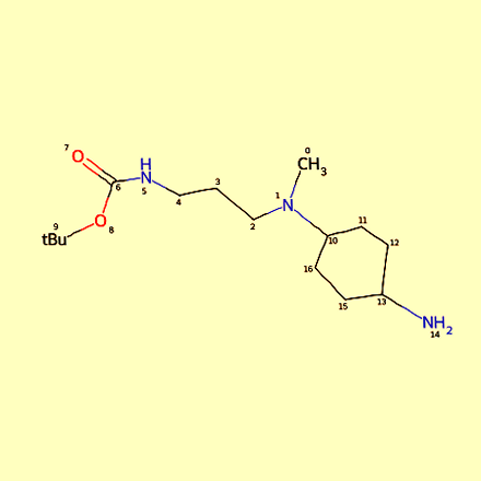 CN(CCCNC(=O)OC(C)(C)C)C1CCC(N)CC1